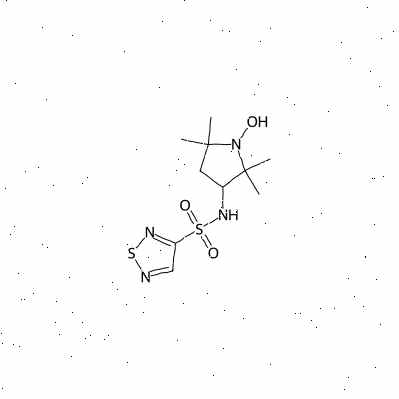 CC1(C)CC(NS(=O)(=O)c2cnsn2)C(C)(C)N1O